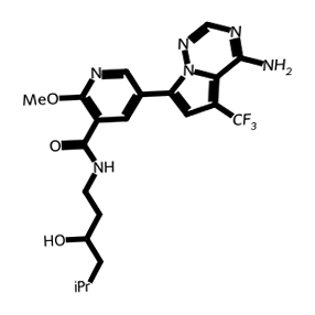 COc1ncc(-c2cc(C(F)(F)F)c3c(N)ncnn23)cc1C(=O)NCCC(O)CC(C)C